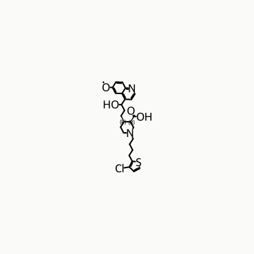 COc1ccc2nccc(C(O)CC[C@@H]3CCN(CCCCc4sccc4Cl)C[C@@H]3C(=O)O)c2c1